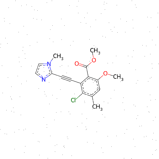 COC(=O)c1c(OC)cc(C)c(Cl)c1C#Cc1nccn1C